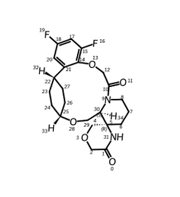 O=C1COC[C@]2(CCCN3C(=O)COc4c(F)cc(F)cc4[C@H]4CC[C@H](CC4)OC[C@@H]32)N1